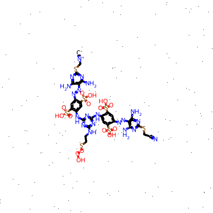 [C-]#[N+]CSc1nc(N)c(/N=N/c2cc(S(=O)(=O)O)c(Nc3nc(NCCSOOO)nc(Nc4cc(S(=O)(=O)O)c(/N=N/c5c(N)nc(SCC#N)nc5N)cc4S(=O)(=O)O)n3)cc2S(=O)(=O)O)c(N)n1